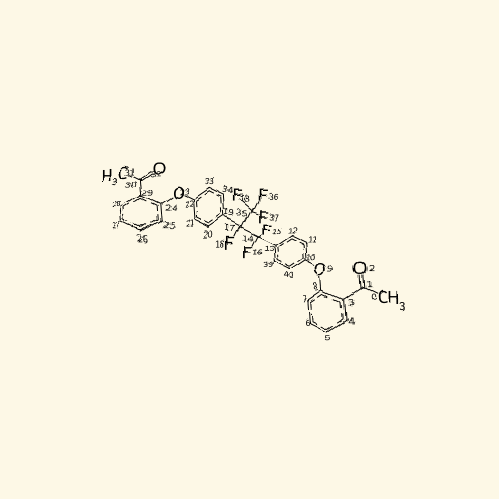 CC(=O)c1ccccc1Oc1ccc(C(F)(F)C(F)(c2ccc(Oc3ccccc3C(C)=O)cc2)C(F)(F)F)cc1